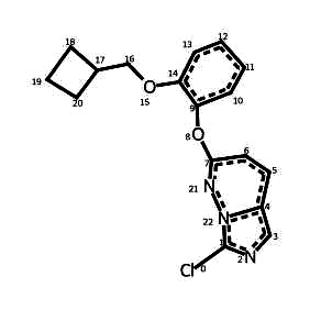 Clc1ncc2ccc(Oc3ccccc3OCC3CCC3)nn12